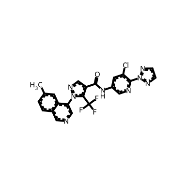 Cc1ccc2cncc(-n3ncc(C(=O)Nc4cnc(-n5nccn5)c(Cl)c4)c3C(F)(F)F)c2c1